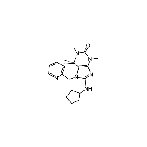 Cn1c(=O)c2c(nc(NC3CCCC3)n2Cc2ccccn2)n(C)c1=O